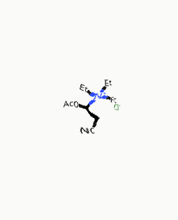 CC[N+](CC)(CC)C(CC#N)OC(C)=O.[Cl-]